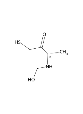 C[C@H](NCO)C(=O)CS